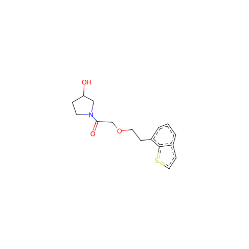 O=C(COCCc1cccc2ccsc12)N1CCC(O)C1